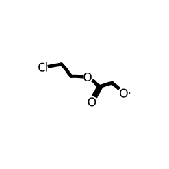 [O]CC(=O)OCCCl